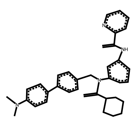 C=C(Nc1cccc(N(Cc2ccc(-c3ccc(N(C)C)cc3)cc2)C(=C)C2CCCCC2)c1)c1ccccn1